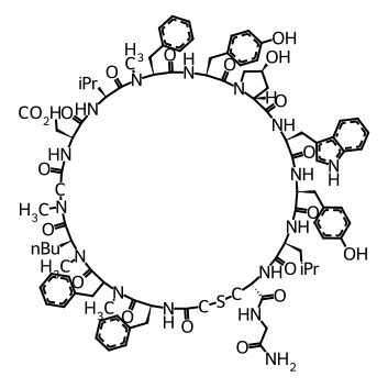 CCCC[C@H]1C(=O)N(C)CC(=O)N[C@@H](CC(=O)O)C(=O)N[C@@H](C(C)C)C(=O)N(C)[C@@H](Cc2ccccc2)C(=O)N[C@@H](Cc2ccc(O)cc2)C(=O)N2C[C@@H](O)C[C@@H]2C(=O)N[C@@H](Cc2c[nH]c3ccccc23)C(=O)N[C@@H](Cc2ccc(O)cc2)C(=O)N[C@@H](CC(C)C)C(=O)N[C@H](C(=O)NCC(N)=O)CSCC(=O)N[C@@H](Cc2ccccc2)C(=O)N(C)C(Cc2ccccc2)C(=O)N1C